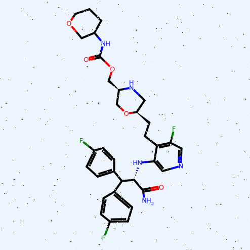 NC(=O)[C@@H](Nc1cncc(F)c1CC[C@@H]1CN[C@H](COC(=O)NC2CCCOC2)CO1)C(c1ccc(F)cc1)c1ccc(F)cc1